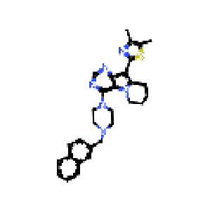 Cc1nc(-c2c3n(c4c(N5CCN(Cc6ccc7ccccc7c6)CC5)ncnc24)CCCC3)sc1C